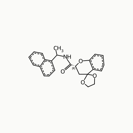 CC(NC(=O)[C@H]1CC2(OCCO2)c2ccccc2O1)c1cccc2ccccc12